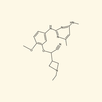 CCN1CC(C(C#N)Oc2cc(Nc3nc(C)cc(NC)n3)ccc2OC)C1